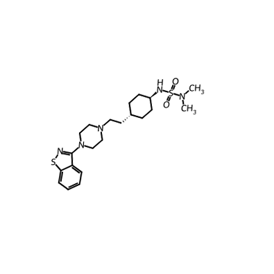 CN(C)S(=O)(=O)N[C@H]1CC[C@H](CCN2CCN(c3nsc4ccccc34)CC2)CC1